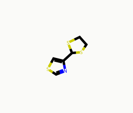 [c]1nc(C2SCCS2)cs1